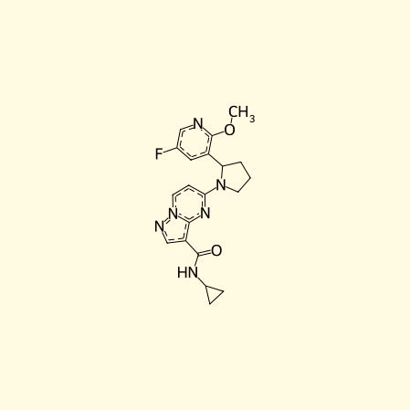 COc1ncc(F)cc1C1CCCN1c1ccn2ncc(C(=O)NC3CC3)c2n1